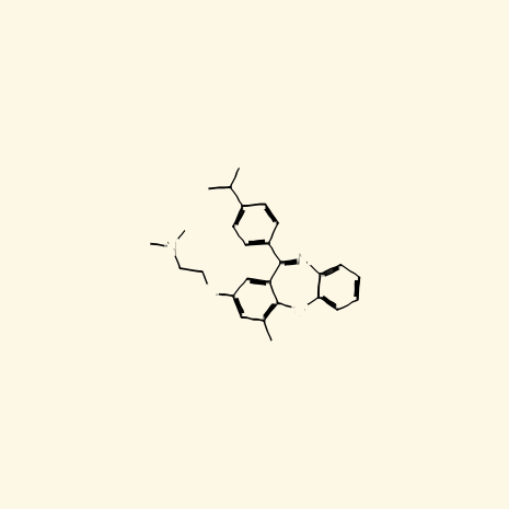 Cc1cc(OCCN(C)C)cc2c1Oc1ccccc1N=C2c1ccc(C(C)C)cc1